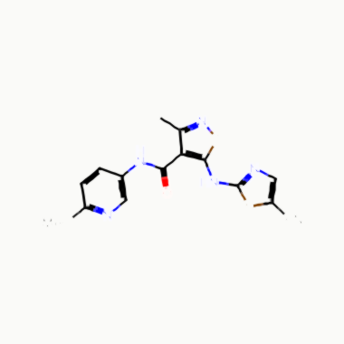 COc1ccc(NC(=O)c2c(C)nsc2Nc2ncc(C#N)s2)cn1